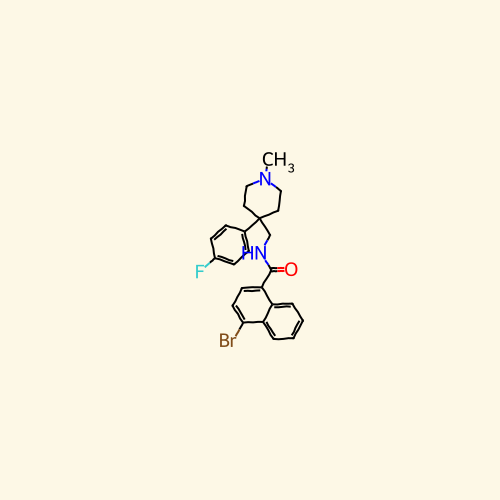 CN1CCC(CNC(=O)c2ccc(Br)c3ccccc23)(c2ccc(F)cc2)CC1